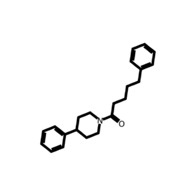 O=C(CCCCc1ccccc1)N1CCC(c2ccccc2)CC1